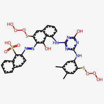 Cc1cc(Nc2nc(O)nc(Nc3cccc4cc(SOOO)c(/N=N/c5ccc6ccccc6c5S(=O)(=O)O)c(O)c34)n2)c(SOOO)cc1C